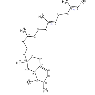 C/C(=C\O)CC/C=C(\C)CCCC(C)CCCC1(C)CCC2=CCC(C)C(C)C2O1